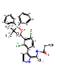 CCC(=O)NC(C)c1[nH]ccc1-c1ccc(Cl)c(CO[Si](c2ccccc2)(c2ccccc2)C(C)(C)C)c1Cl